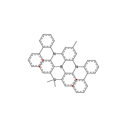 Cc1cc2c3c(c1)N(c1ccccc1-c1ccccc1)c1cccc4c1B3c1c(cccc1[Si]4(C)C)N2c1ccccc1-c1ccccc1